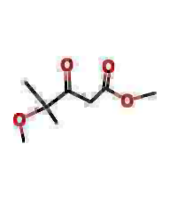 COC(=O)CC(=O)C(C)(C)OC